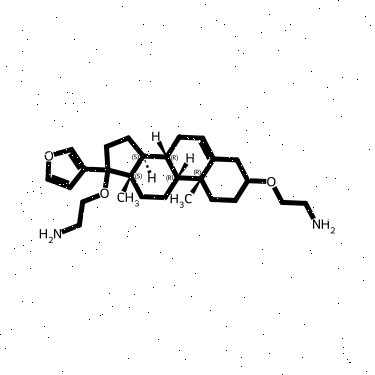 C[C@]12CCC(OCCN)CC1=CC[C@@H]1[C@H]2CC[C@@]2(C)[C@H]1CCC2(OCCN)c1ccoc1